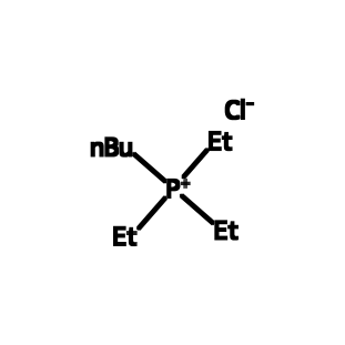 CCCC[P+](CC)(CC)CC.[Cl-]